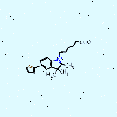 CC1=[N+](CCCCCC=O)c2ccc(-c3cccs3)cc2C1(C)C